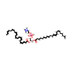 CC/C=C\C/C=C\C/C=C\C/C=C\C/C=C\C/C=C\CCC(=O)O[C@H](COC(=O)CCCCCCCCCCC/C=C\C/C=C\CCCCC)COP(=O)([O-])OCC[N+](C)(C)C